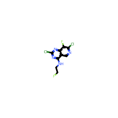 FCCNc1nc(Cl)nc2c(F)c(Cl)ncc12